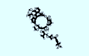 CO[C@@H](C)c1ncccc1-c1c2c3cc(ccc3n1CC(F)(F)F)N1CCO[C@@H](C[C@H](NC(=O)[C@@H](COC3CN(C(=O)C#CC(C)(C)N(C)C)C3)C(C)C)C(=O)N3CCC[C@H](N3)C(=O)OCC(C)(C)C2)C1